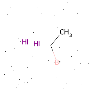 I.I.[B]CC